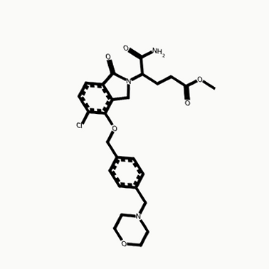 COC(=O)CCC(C(N)=O)N1Cc2c(ccc(Cl)c2OCc2ccc(CN3CCOCC3)cc2)C1=O